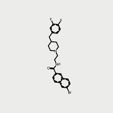 O=C(NCCN1CCC(Cc2ccc(F)c(F)c2)CC1)c1ccc2cc(Br)ccc2c1